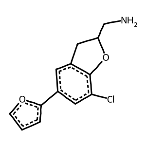 NCC1Cc2cc(-c3ccco3)cc(Cl)c2O1